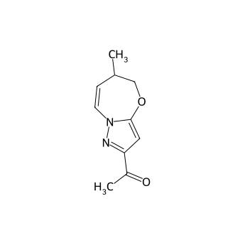 CC(=O)c1cc2n(n1)C=CC(C)CO2